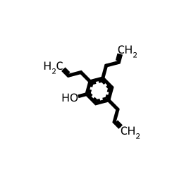 C=CCc1cc(O)c(CC=C)c(CC=C)c1